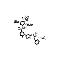 COc1c(NC(=O)c2ccc(C)c(-n3cc(OC(=O)N[C@H](CCN(C)C)c4ccccc4)nn3)c2)cc(C(C)(C)C)cc1NS(C)(=O)=O